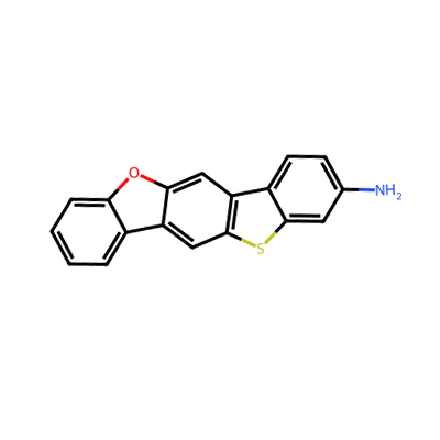 Nc1ccc2c(c1)sc1cc3c(cc12)oc1ccccc13